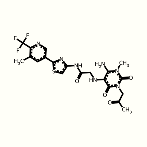 CC(=O)Cn1c(=O)c(NCC(=O)Nc2csc(-c3cnc(C(F)(F)F)c(C)c3)n2)c(N)n(C)c1=O